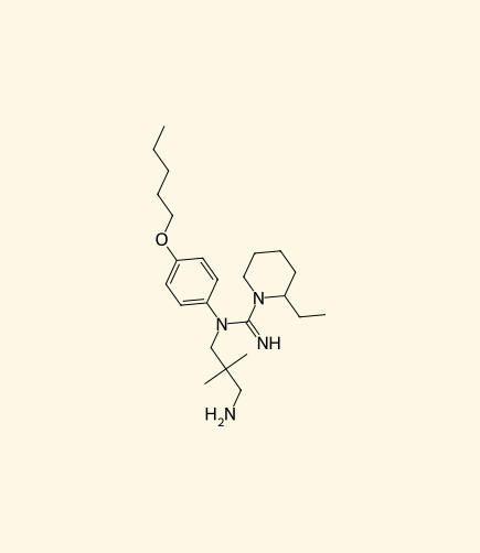 CCCCCOc1ccc(N(CC(C)(C)CN)C(=N)N2CCCCC2CC)cc1